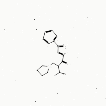 CC(C)C(CN1CCCC1)C(=O)c1cc(-c2ccccc2)no1